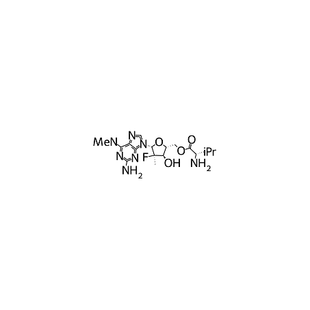 CNc1nc(N)nc2c1ncn2[C@@H]1O[C@H](COC(=O)[C@@H](N)C(C)C)[C@@H](O)[C@@]1(C)F